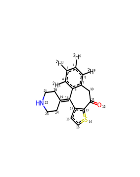 [2H]c1c([2H])c([2H])c2c(c1[2H])CC(=O)c1sccc1C2=C1CCNCC1